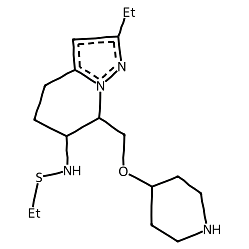 CCSNC1CCc2cc(CC)nn2C1COC1CCNCC1